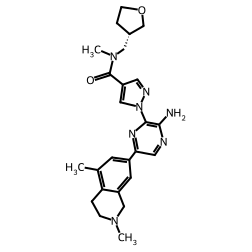 Cc1cc(-c2cnc(N)c(-n3cc(C(=O)N(C)C[C@@H]4CCOC4)cn3)n2)cc2c1CCN(C)C2